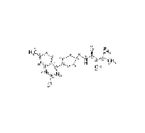 Cc1ccc2c(N3CCC(CNC(=O)[C@@H](O)C(C)C)CC3)nc(Cl)nc2c1